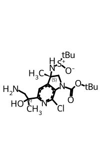 CC(C)(C)OC(=O)N1C[C@@](C)(N[S+]([O-])C(C)(C)C)c2cc([C@](C)(O)CN)nc(Cl)c21